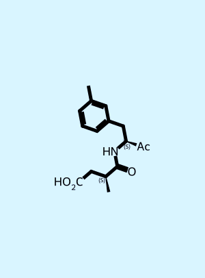 CC(=O)[C@H](Cc1cccc(C)c1)NC(=O)[C@@H](C)CC(=O)O